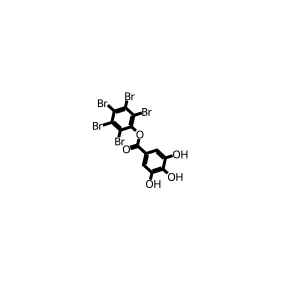 O=C(Oc1c(Br)c(Br)c(Br)c(Br)c1Br)c1cc(O)c(O)c(O)c1